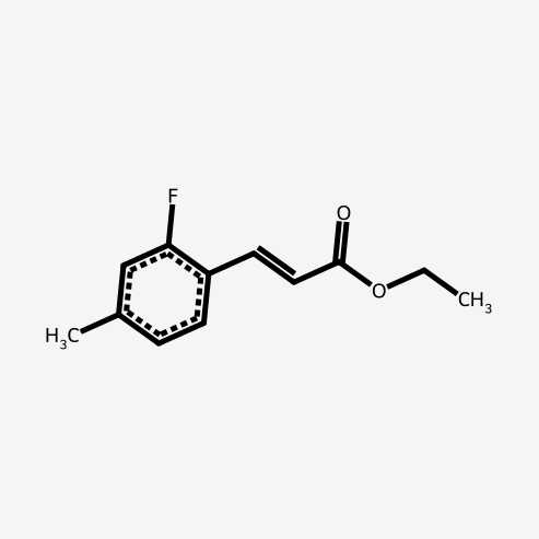 CCOC(=O)C=Cc1ccc(C)cc1F